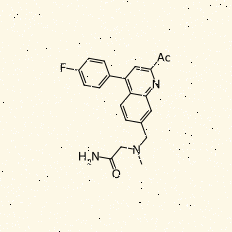 CC(=O)c1cc(-c2ccc(F)cc2)c2ccc(CN(C)CC(N)=O)cc2n1